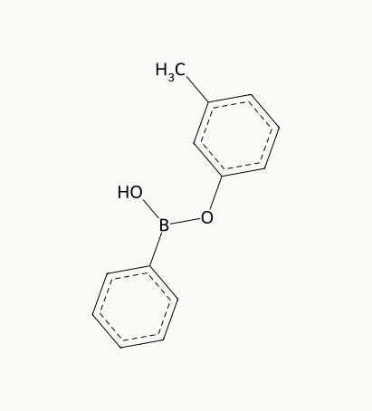 Cc1cccc(OB(O)c2ccccc2)c1